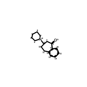 O=C1CC(N2CCCCC2)CCc2ccccc21